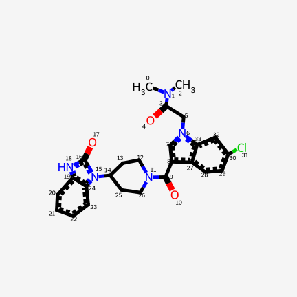 CN(C)C(=O)Cn1cc(C(=O)N2CCC(n3c(=O)[nH]c4ccccc43)CC2)c2ccc(Cl)cc21